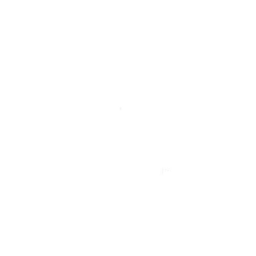 C/C=C1\CCc2ccc(Br)cc21